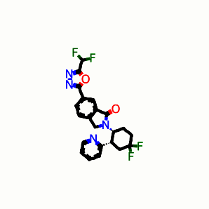 O=C1c2cc(-c3nnc(C(F)F)o3)ccc2CN1[C@@H]1CCC(F)(F)C[C@@H]1c1ccccn1